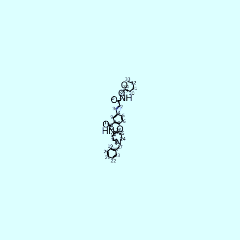 O=C(/C=C/c1ccc2c(c1)C(=O)NC1(CCN(Cc3ccccc3)CC1)O2)NOC1CCCCO1